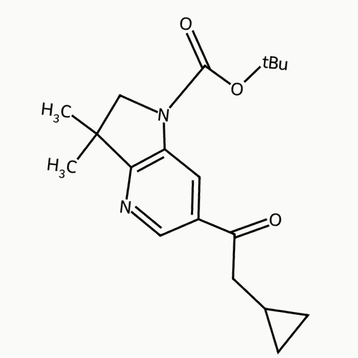 CC(C)(C)OC(=O)N1CC(C)(C)c2ncc(C(=O)CC3CC3)cc21